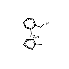 Cc1ccccc1.O=C(O)c1ccccc1CO